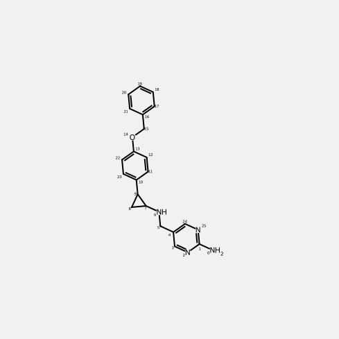 Nc1ncc(CNC2CC2c2ccc(OCc3ccccc3)cc2)cn1